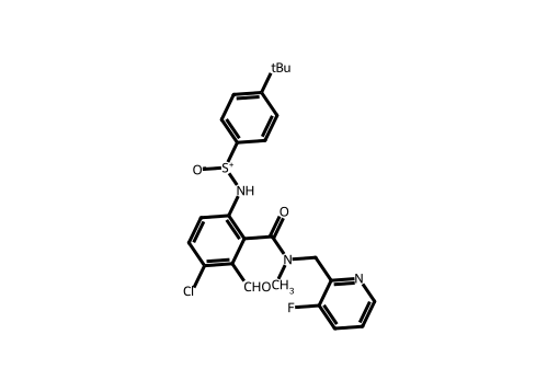 CN(Cc1ncccc1F)C(=O)c1c(N[S+]([O-])c2ccc(C(C)(C)C)cc2)ccc(Cl)c1C=O